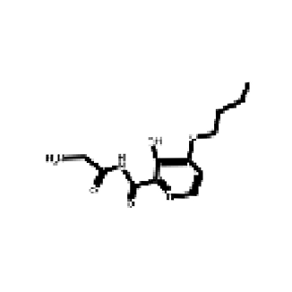 CCCCOc1ccnc(C(=O)NC(=O)CN)c1O